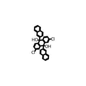 OC1(c2ccc3ccccc3c2)c2ccc(Cl)cc2C(O)(c2ccc3ccccc3c2)c2cc(Cl)ccc21